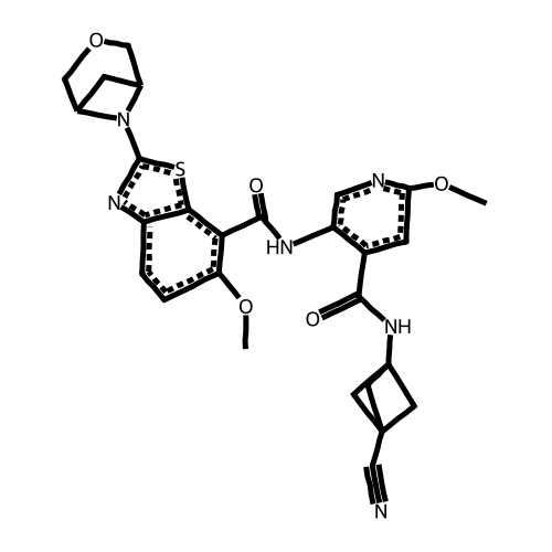 COc1cc(C(=O)NC23CC(C#N)(C2)C3)c(NC(=O)c2c(OC)ccc3nc(N4C5COCC4C5)sc23)cn1